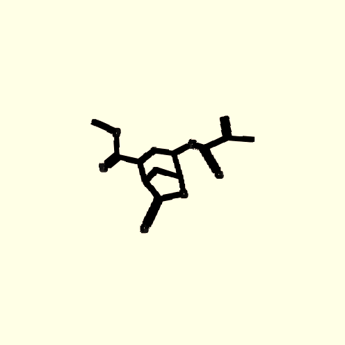 C=C(C)C(=O)OC1CC(C(=O)OC)C2CC1OC2=O